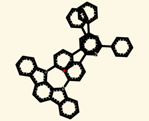 c1ccc(-c2cccc(-c3ccc(-n4c5ccccc5c5ccc6c7ccccc7n(-c7ccc(-c8cc(-c9ccccc9)nc(-c9ccccc9)n8)cc7)c6c54)cc3)c2)cc1